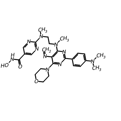 C=Nc1c(N(C)CCN(C)c2ncc(C(=O)NO)cn2)nc(-c2ccc(N(C)C)cc2)nc1N1CCOCC1